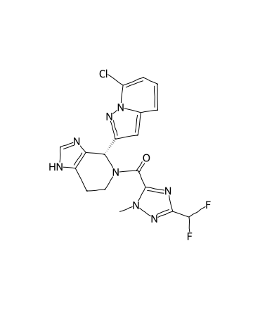 Cn1nc(C(F)F)nc1C(=O)N1CCc2[nH]cnc2[C@@H]1c1cc2cccc(Cl)n2n1